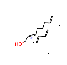 C=CC=C.C=CCCC/C=C/CO